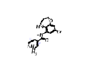 N/C=C\C(=C/N)C(=O)Nc1cc(Br)cc2c1NCCCO2